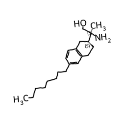 CCCCCCCCc1ccc2c(c1)CC[C@H]([C@](C)(N)CO)C2